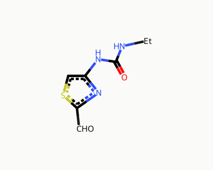 CCNC(=O)Nc1csc(C=O)n1